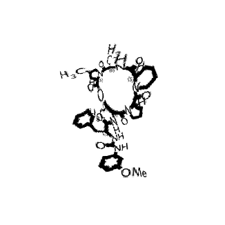 COc1cccc(NC(=O)N[C@@H](Cc2ccccc2)C(=O)N[C@@H]2C(=O)N3CCC[C@H]3C(=O)N3CCCC[C@H]3C(=O)N[C@@H](C)C(=O)N3C[C@H](C)C[C@H]3C(=O)O[C@H]2C)c1